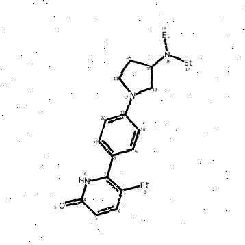 CCc1ccc(=O)[nH]c1-c1ccc(N2CCC(N(CC)CC)C2)cc1